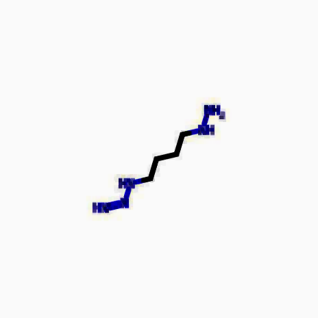 N=NNCCCCNN